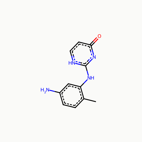 Cc1ccc(N)cc1Nc1nc(=O)cc[nH]1